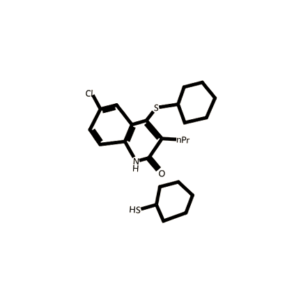 CCCc1c(SC2CCCCC2)c2cc(Cl)ccc2[nH]c1=O.SC1CCCCC1